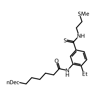 CCCCCCCCCCCCCCCC(=O)Nc1cc(C(=S)NCCSC)ccc1CC